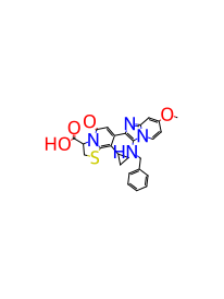 COc1ccn2c(NCc3ccccc3)c(-c3cc(=O)n4c(c3C3CC3)SCC4C(=O)O)nc2c1